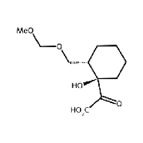 COCOC[C@@H]1CCCC[C@]1(O)C(=O)C(=O)O